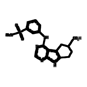 CNS(=O)(=O)c1cccc(Nc2ncnc3[nH]c4c(c23)CC(C(=O)O)CC4)c1